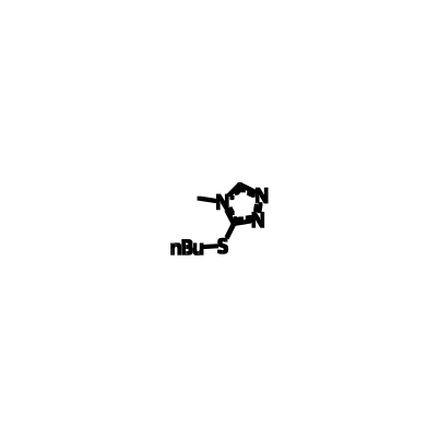 CCCCSc1nncn1C